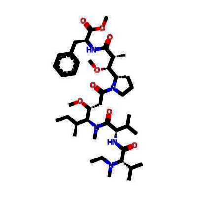 CC[C@H](C)[C@@H]([C@@H](CC(=O)N1CCC[C@H]1[C@H](OC)[C@@H](C)C(=O)N[C@@H](Cc1ccccc1)C(=O)OC)OC)N(C)C(=O)[C@@H](NC(=O)[C@H](C(C)C)N(C)CC)C(C)C